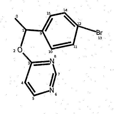 CC(Oc1ccncn1)c1ccc(Br)cc1